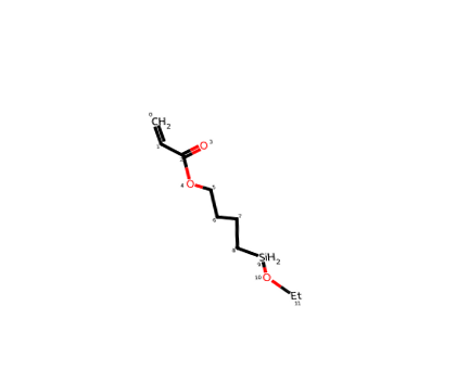 C=CC(=O)OCCCC[SiH2]OCC